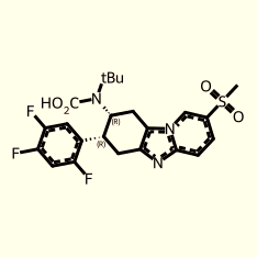 CC(C)(C)N(C(=O)O)[C@@H]1Cc2c(nc3ccc(S(C)(=O)=O)cn23)C[C@@H]1c1cc(F)c(F)cc1F